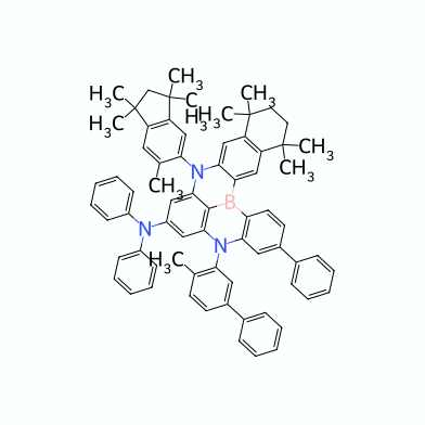 Cc1ccc(-c2ccccc2)cc1N1c2cc(-c3ccccc3)ccc2B2c3cc4c(cc3N(c3cc5c(cc3C)C(C)(C)CC5(C)C)c3cc(N(c5ccccc5)c5ccccc5)cc1c32)C(C)(C)CCC4(C)C